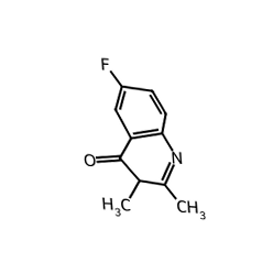 CC1=Nc2ccc(F)cc2C(=O)C1C